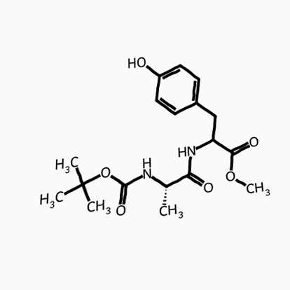 COC(=O)C(Cc1ccc(O)cc1)NC(=O)[C@H](C)NC(=O)OC(C)(C)C